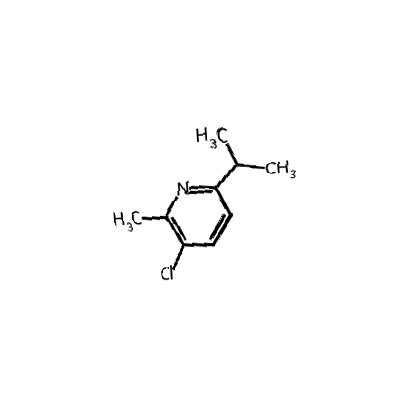 Cc1nc(C(C)C)ccc1Cl